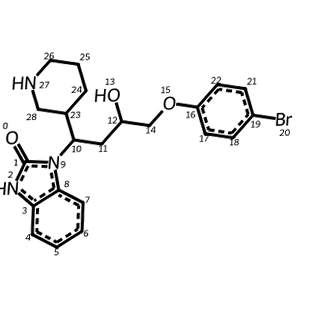 O=c1[nH]c2ccccc2n1C(CC(O)COc1ccc(Br)cc1)C1CCCNC1